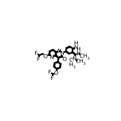 CN/C(=C1/C=C(n2nc3ccc(OCC(F)F)nc3c(-c3ccc(OC(F)F)cc3)c2=O)C=CC1=N)N(C)C